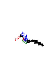 CCCCCCCCc1ccc(-c2noc([C@@H]3C[C@@H](O)CN3C(=N)N)n2)cc1.Cl